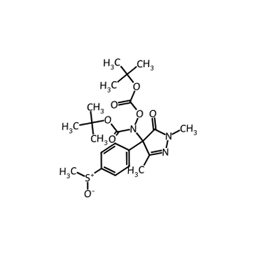 CC1=NN(C)C(=O)C1(c1ccc([S+](C)[O-])cc1)N(OC(=O)OC(C)(C)C)C(=O)OC(C)(C)C